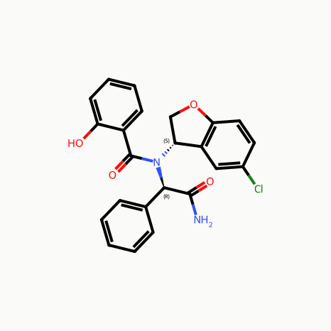 NC(=O)[C@@H](c1ccccc1)N(C(=O)c1ccccc1O)[C@@H]1COc2ccc(Cl)cc21